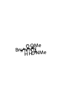 CNC(=O)N=C(NC(=O)NCCBr)OC